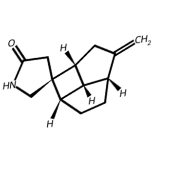 C=C1C[C@@H]2[C@@H]3[C@H]1CC[C@@H]3[C@@]21CNC(=O)C1